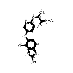 CC(=O)NC(C)C(C)Oc1ccc(Oc2ccc3nc(C(C)C)sc3c2Cl)cn1